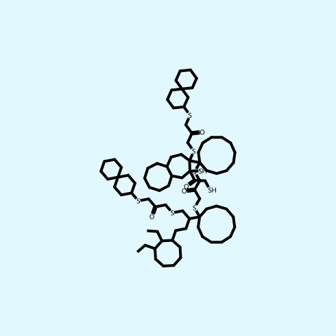 CCC1CCCCCC(CCC(CSCC(=O)CSC2CCC3(CCCCC3)CC2)C2(SCC(=O)CSC3(C4(SCC(=O)CSC5CCCC6(CCCCC6)C5)CCC5CCCCCCC5CC4(S)C(=O)CS)CCCCCCCCCC3)CCCCCCCCCC2)C1CC